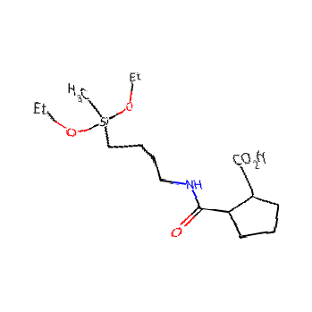 CCO[Si](C)(CCCNC(=O)C1CCCC1C(=O)O)OCC